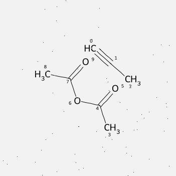 C#CC.CC(=O)OC(C)=O